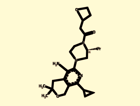 CC(C)[C@@H]1CN(c2nc(C3CC3)c3c(c2N)CC(C)(C)OC3)CCN1C(=O)CC1CCO1